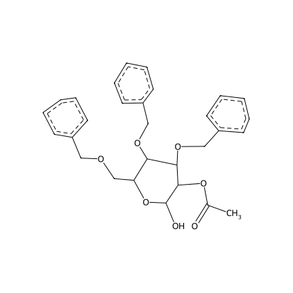 CC(=O)OC1C(O)OC(COCc2ccccc2)C(OCc2ccccc2)C1OCc1ccccc1